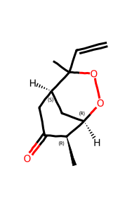 C=CC1(C)OO[C@@H]2C[C@H]1CC(=O)[C@@H]2C